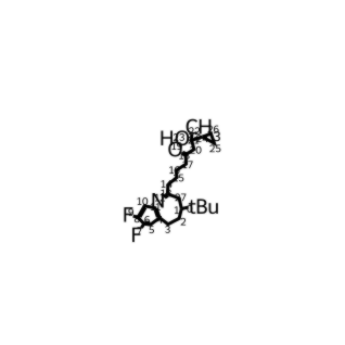 CC(C)(C)C1CCc2cc(F)c(F)cc2/N=C(/CCCCC(=O)CC(C)(O)C2CC2)C1